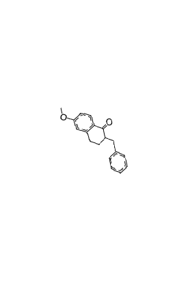 COc1ccc2c(c1)CCC(Cc1ccccc1)C2=O